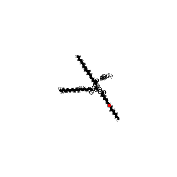 CCCCCCCCCCCCCCCC(=O)OOB(OOC(=O)CCCCCCCCCCCCCCC)OOC(=O)CCCCCCCCCCCCCCC.[Bi+3].[Bi+3].[Bi+3]